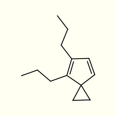 CCCC1=C(CCC)C2(C=C1)CC2